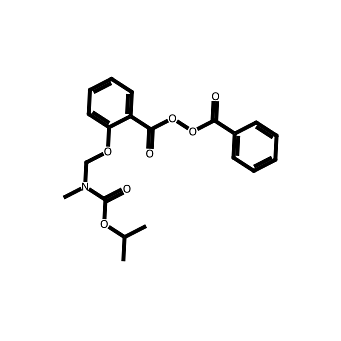 CC(C)OC(=O)N(C)COc1ccccc1C(=O)OOC(=O)c1ccccc1